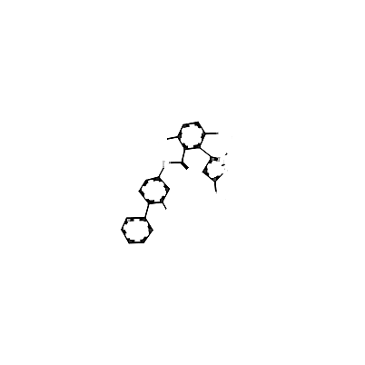 Cc1ccc(C)c(-c2cc(C(F)(F)F)nn2C)c1C(=O)Nc1ccc(-c2ccccc2)c(Cl)c1